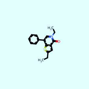 CCc1cc2c(=O)n(CC)cc(-c3ccccc3)c2s1